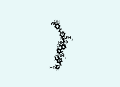 Cc1c(Nc2nccc3cc(CN4CC[C@@H](O)C4)cnc23)cccc1-c1cccc(NC(=O)c2nc3c(n2C)CCN(CC[C@H]2CC[C@H](C(=O)O)CC2)C3)c1Cl